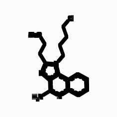 COCCc1nc2c(N)nc3ccccc3c2n1CCCCCl